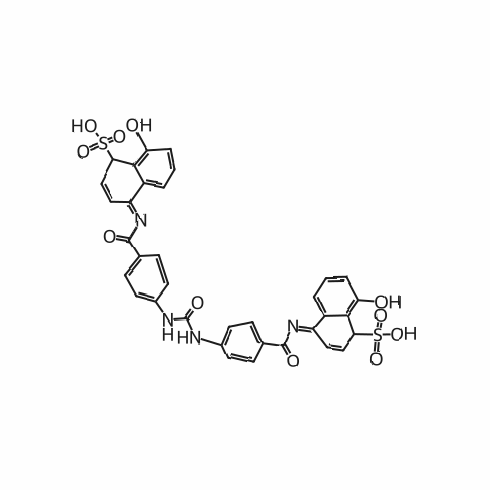 O=C(Nc1ccc(C(=O)N=C2C=CC(S(=O)(=O)O)c3c(O)cccc32)cc1)Nc1ccc(C(=O)N=C2C=CC(S(=O)(=O)O)c3c(O)cccc32)cc1